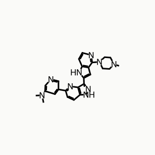 CN1CCN(c2nccc3[nH]c(-c4n[nH]c5ccc(-c6cncc(N(C)C)c6)nc45)cc23)CC1